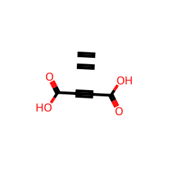 C=C.C=C.O=C(O)C#CC(=O)O